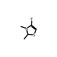 CC1SC=C(F)N1C